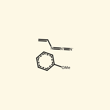 C=CN=[N+]=[N-].COc1ccccc1